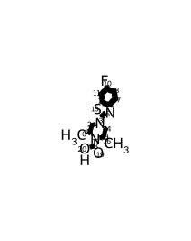 C[C@@H]1CN(c2nc3ccc(F)cc3s2)C[C@@H](C)N1C(=O)O